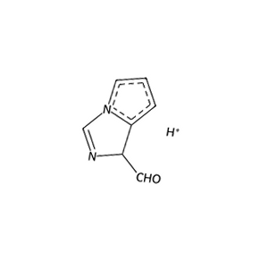 O=CC1N=Cn2cccc21.[H+]